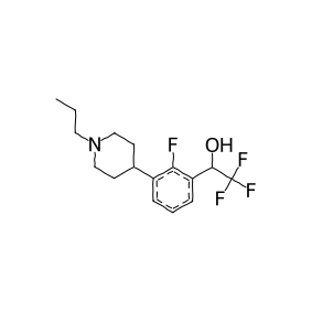 CCCN1CCC(c2cccc(C(O)C(F)(F)F)c2F)CC1